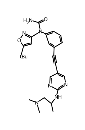 CC(CN(C)C)Nc1ncc(C#Cc2cccc(N(C(N)=O)c3cc(C(C)(C)C)on3)c2)cn1